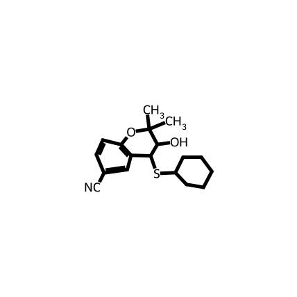 CC1(C)Oc2ccc(C#N)cc2C(SC2CCCCC2)C1O